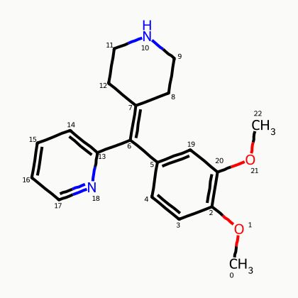 COc1ccc(C(=C2CCNCC2)c2ccccn2)cc1OC